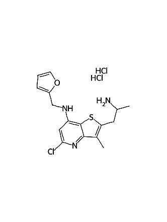 Cc1c(CC(C)N)sc2c(NCc3ccco3)cc(Cl)nc12.Cl.Cl